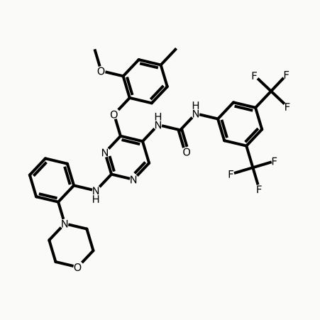 COc1cc(C)ccc1Oc1nc(Nc2ccccc2N2CCOCC2)ncc1NC(=O)Nc1cc(C(F)(F)F)cc(C(F)(F)F)c1